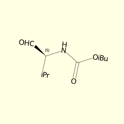 CC(C)COC(=O)N[C@H](C=O)C(C)C